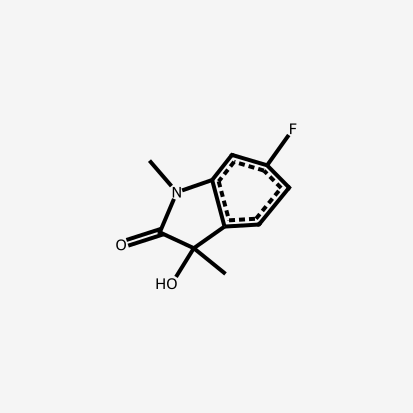 CN1C(=O)C(C)(O)c2ccc(F)cc21